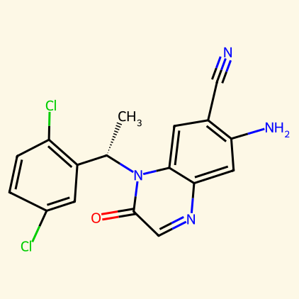 C[C@@H](c1cc(Cl)ccc1Cl)n1c(=O)cnc2cc(N)c(C#N)cc21